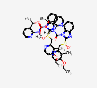 Cc1c(OCC(F)(F)F)ccnc1C[S+]([O-])c1nc2ccccc2n1C(=O)N(C)c1ncccc1C(OC(=O)OC(c1cccnc1N(C)C(=O)n1c([S+]([O-])Cc2nccc(OCC(F)(F)F)c2C)nc2ccccc21)C(C)(C)C)C(C)(C)C